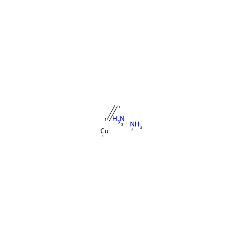 C=C.N.N.[Cu]